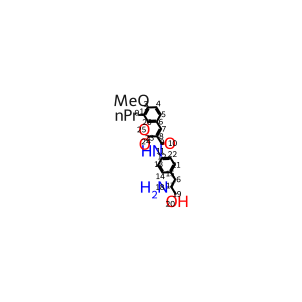 CCCc1c(OC)ccc2cc(C(=O)Nc3ccc(C[C@@H](N)CO)cc3)c(=O)oc12